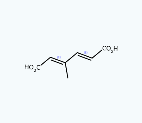 CC(/C=C/C(=O)O)=C\C(=O)O